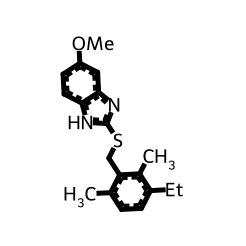 CCc1ccc(C)c(CSc2nc3cc(OC)ccc3[nH]2)c1C